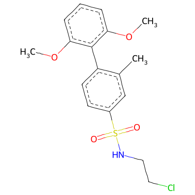 COc1cccc(OC)c1-c1ccc(S(=O)(=O)NCCCl)cc1C